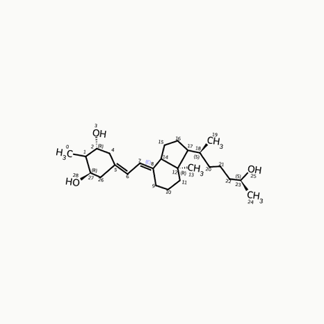 CC1[C@H](O)CC(=C/C=C2\CCC[C@@]3(C)C2CCC3[C@@H](C)CCC[C@H](C)O)C[C@H]1O